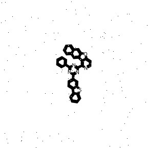 c1ccc(-c2nc(-c3ccc4c(c3)sc3ccccc34)nc(-c3nccc4oc5cc6ccccc6cc5c34)n2)cc1